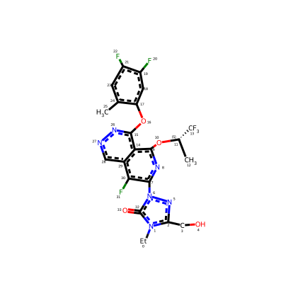 CCn1c(CO)nn(-c2nc(O[C@@H](C)C(F)(F)F)c3c(Oc4cc(F)c(F)cc4C)nncc3c2F)c1=O